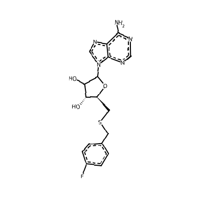 Nc1ncnc2c1ncn2C1O[C@@H](CSCc2ccc(F)cc2)[C@H](O)C1O